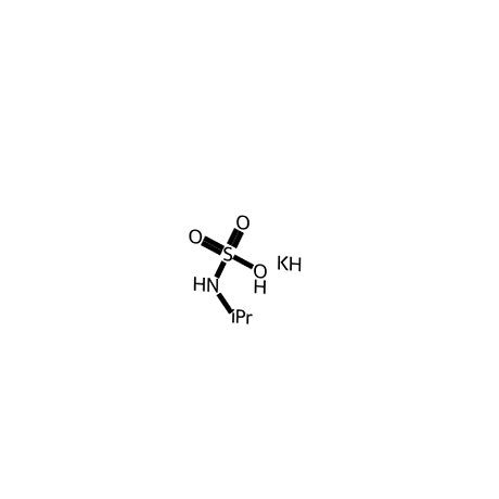 CC(C)NS(=O)(=O)O.[KH]